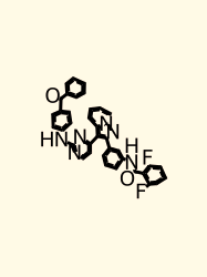 O=C(c1ccccc1)c1ccc(Nc2nccc(-c3c(-c4cccc(NC(=O)c5c(F)cccc5F)c4)nn4ccccc34)n2)cc1